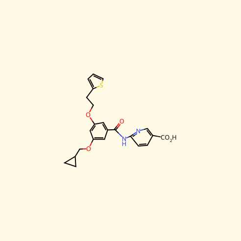 O=C(O)c1ccc(NC(=O)c2cc(OCCc3cccs3)cc(OCC3CC3)c2)nc1